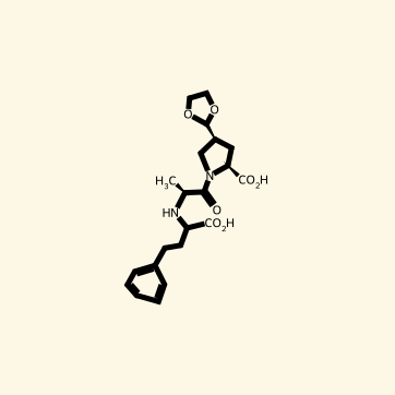 C[C@H](NC(CCc1ccccc1)C(=O)O)C(=O)N1C[C@@H](C2OCCO2)C[C@H]1C(=O)O